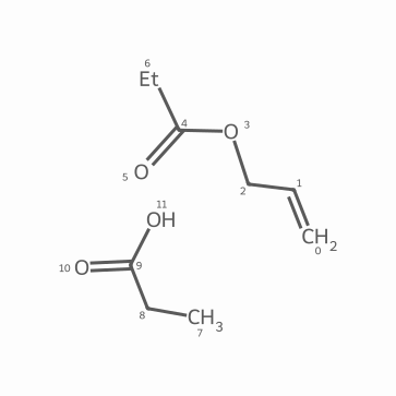 C=CCOC(=O)CC.CCC(=O)O